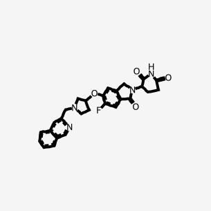 O=C1CCC(N2Cc3cc(OC4CCN(Cc5cc6ccccc6cn5)C4)c(F)cc3C2=O)C(=O)N1